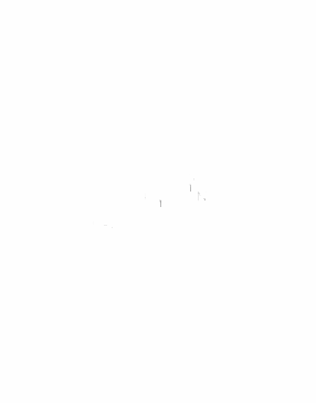 CC(C)(C)C1CCC(OC(=O)CCC(=O)N2CCCCC2)CC1